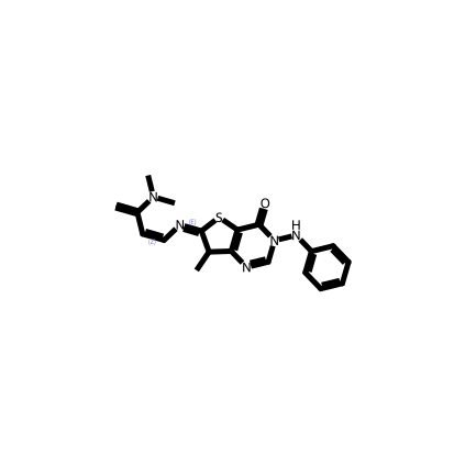 C=C(/C=C\N=C1\Sc2c(ncn(Nc3ccccc3)c2=O)C1C)N(C)C